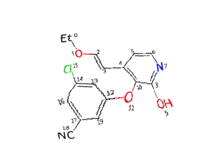 CCOC=Cc1ccnc(O)c1Oc1cc(Cl)cc(C#N)c1